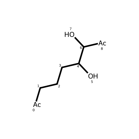 CC(=O)CCCC(O)C(O)C(C)=O